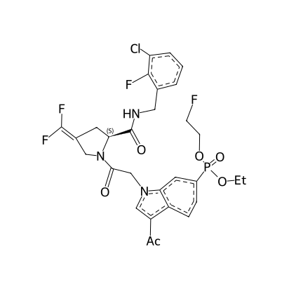 CCOP(=O)(OCCF)c1ccc2c(C(C)=O)cn(CC(=O)N3CC(=C(F)F)C[C@H]3C(=O)NCc3cccc(Cl)c3F)c2c1